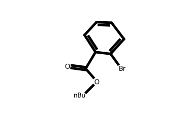 CCCCOC(=O)c1ccccc1Br